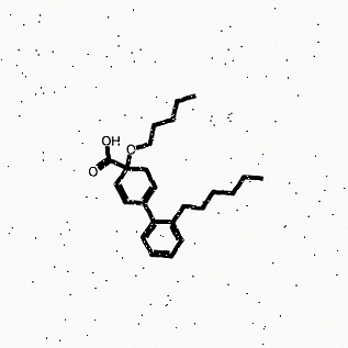 CCCCCCc1ccccc1C1=CCC(OCCCCC)(C(=O)O)C=C1